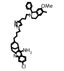 COc1cc2c(cc1C)CCN(CCCc1cn(CCCCC3=CC4Cc5nc6cc(Cl)ccc6c(N)c5C(C3)C4)nn1)C2c1ccccc1